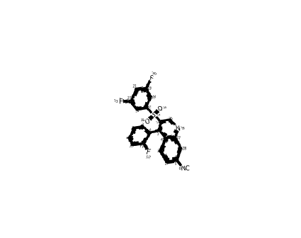 [C-]#[N+]c1ccc2c(-c3ccccc3F)c(S(=O)(=O)c3cc(F)cc(F)c3)cnc2c1